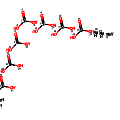 O=[Si](O)O.O=[Si](O)O.O=[Si](O)O.O=[Si](O)O.O=[Si](O)O.O=[Si](O)O.O=[Si](O)O.[NaH].[NaH].[NaH].[NaH].[NaH]